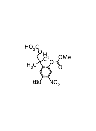 COC(=O)Oc1cc([N+](=O)[O-])c(C(C)(C)C)cc1C(C)(C)COC(=O)O